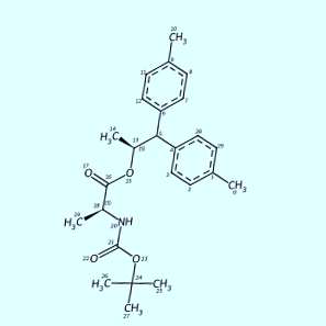 Cc1ccc(C(c2ccc(C)cc2)[C@H](C)OC(=O)[C@H](C)NC(=O)OC(C)(C)C)cc1